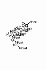 CCCCCC.CCCCCC.CCCCCC.CCCCCC.CCCCCC.CCCCCC.CCCCCC.CCCCCC.CCCCCC.CCCCCCC(Cl)Cl